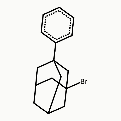 BrC12CC3CC(C1)CC(c1ccccc1)(C3)C2